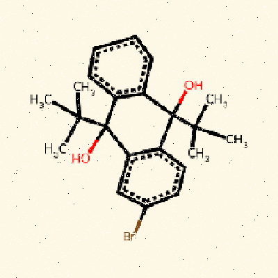 CC(C)(C)C1(O)c2ccccc2C(O)(C(C)(C)C)c2cc(Br)ccc21